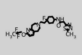 Cc1nnc(CC(=O)NC2CCC(F)(CCN3CCc4ccc(OCC(C)(F)F)nc4CC3)CC2)s1